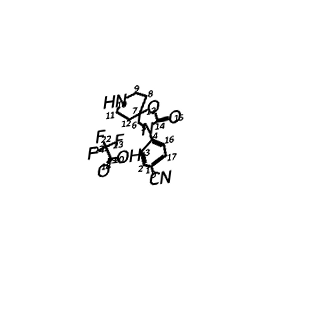 N#Cc1ccc(N2CC3(CCNCC3)OC2=O)cc1.O=C(O)C(F)(F)F